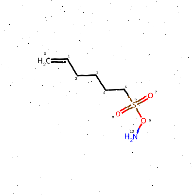 C=CCCCCS(=O)(=O)ON